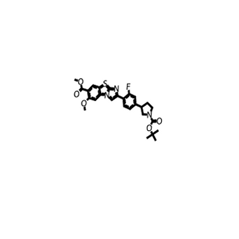 COC(=O)c1cc2sc3nc(-c4ccc(C5CCN(C(=O)OC(C)(C)C)C5)cc4F)cn3c2cc1OC